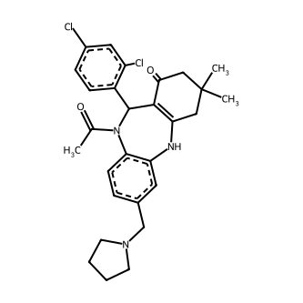 CC(=O)N1c2ccc(CN3CCCC3)cc2NC2=C(C(=O)CC(C)(C)C2)C1c1ccc(Cl)cc1Cl